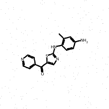 Cc1cc(N)ccc1Nc1ncc(C(=O)c2ccncc2)s1